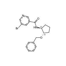 O=C(N[C@H]1CCC[C@@H]1OCc1ccccc1)c1cncc(Br)c1